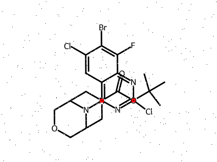 CC(C)(C)OC(=O)N1CC2COCC(C1)N2c1nc(Cl)nc2c(F)c(Br)c(Cl)cc12